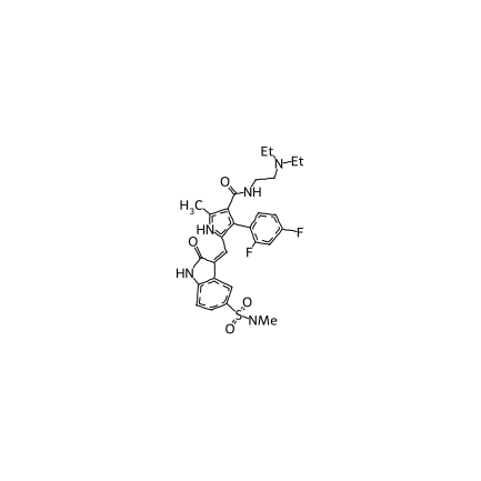 CCN(CC)CCNC(=O)c1c(C)[nH]c(/C=C2\C(=O)Nc3ccc(S(=O)(=O)NC)cc32)c1-c1ccc(F)cc1F